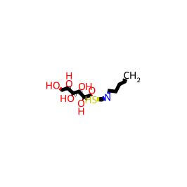 C=CCCCN=C=[SH]C(=O)[C@H](O)[C@@H](O)[C@H](O)[C@H](O)CO